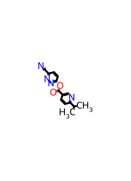 CC(C)c1ccc(C(=O)Oc2ccc(C#N)nn2)cn1